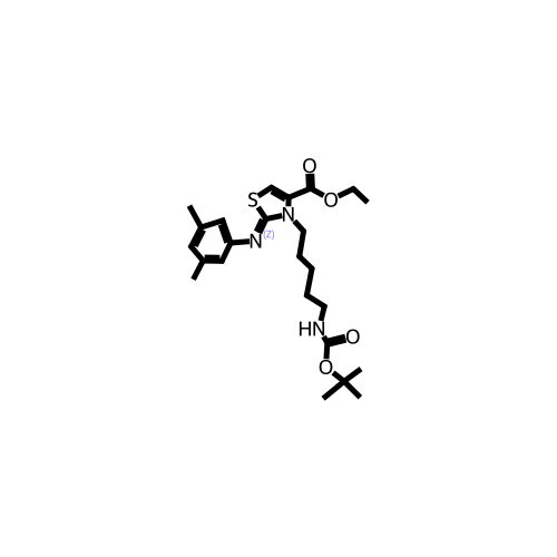 CCOC(=O)c1cs/c(=N\c2cc(C)cc(C)c2)n1CCCCCNC(=O)OC(C)(C)C